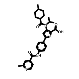 Cc1cc(C(=O)Nc2ccc(-c3cc(N(C(=O)C4CCC(C)CC4)C(C)C)c(C(=O)O)s3)cc2)ccn1